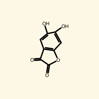 O=C1Oc2cc(O)c(O)cc2C1=O